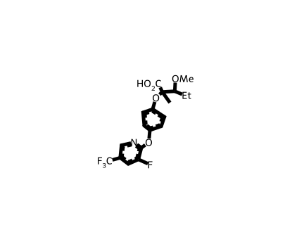 CCC(OC)C(C)(Oc1ccc(Oc2ncc(C(F)(F)F)cc2F)cc1)C(=O)O